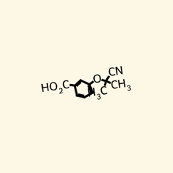 CC(C)(C#N)Oc1cccc(C(=O)O)c1